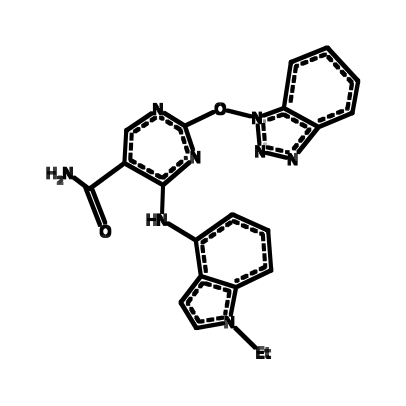 CCn1ccc2c(Nc3nc(On4nnc5ccccc54)ncc3C(N)=O)cccc21